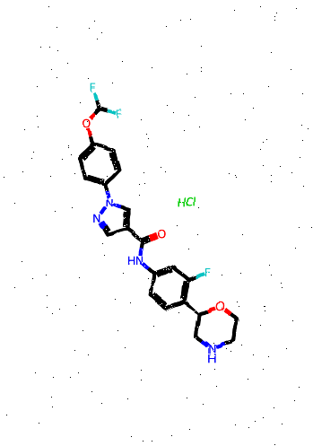 Cl.O=C(Nc1ccc([C@@H]2CNCCO2)c(F)c1)c1cnn(-c2ccc(OC(F)F)cc2)c1